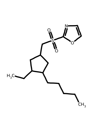 CCCCCC1CC(CS(=O)(=O)c2ncco2)CC1CC